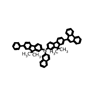 CC1(C)c2cc(-c3ccccc3)ccc2-c2ccc(N(c3ccc4c(c3)C(C)(C)c3cc(-c5cc6ccccc6c6ccccc56)ccc3-4)c3ccc4ccccc4c3)cc21